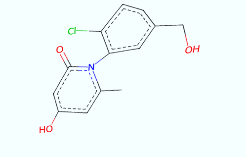 Cc1cc(O)cc(=O)n1-c1cc(CO)ccc1Cl